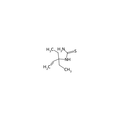 C=CC(CC)(CC)NC(N)=S